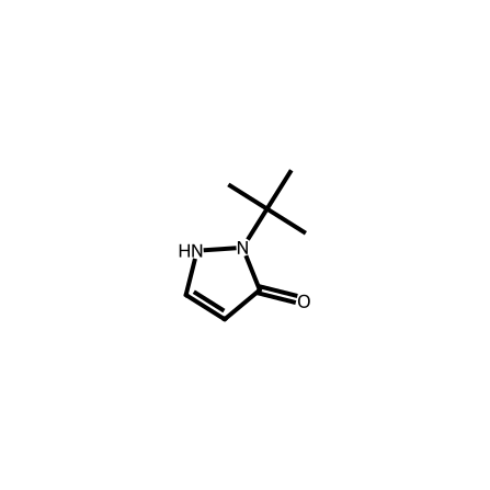 CC(C)(C)n1[nH]ccc1=O